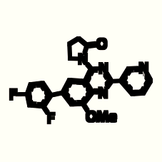 COc1cc(-c2ccc(F)cc2F)cc2c(N3CCCC3=O)nc(-c3cccnc3)nc12